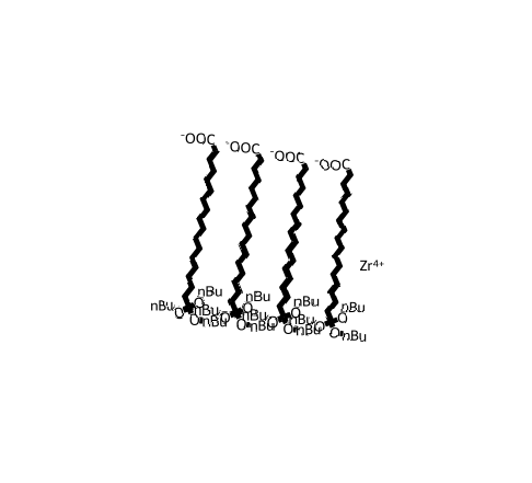 CCCCOC(CCCCCCCCCCCCCCCCC(=O)[O-])(OCCCC)OCCCC.CCCCOC(CCCCCCCCCCCCCCCCC(=O)[O-])(OCCCC)OCCCC.CCCCOC(CCCCCCCCCCCCCCCCC(=O)[O-])(OCCCC)OCCCC.CCCCOC(CCCCCCCCCCCCCCCCC(=O)[O-])(OCCCC)OCCCC.[Zr+4]